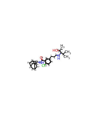 CC(C)C(NCCCc1ccc(Cl)c(C(=O)NCC23CC4CC(CC(C4)C2)C3)c1)C(C)O